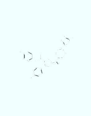 Cc1nnc(N2CCC(C(=O)N3C[C@H](c4ccc(Cl)cc4)[C@@H](C(C)Oc4ccc(Cl)cn4)C3)CC2)o1